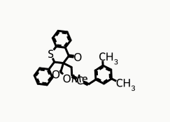 COC(=O)C1(CC=C=Cc2cc(C)cc(C)c2)C(=O)c2ccccc2SC1c1ccccc1